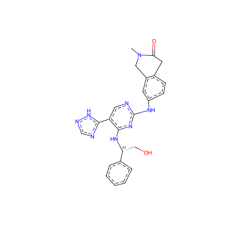 CN1Cc2cc(Nc3ncc(-c4ncn[nH]4)c(N[C@H](CO)c4ccccc4)n3)ccc2CC1=O